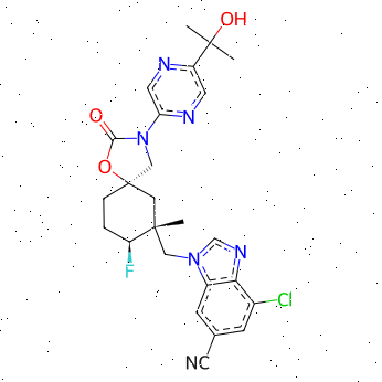 CC(C)(O)c1cnc(N2C[C@]3(CC[C@H](F)[C@@](C)(Cn4cnc5c(Cl)cc(C#N)cc54)C3)OC2=O)cn1